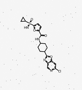 N=S(=O)(c1ccc(C(=O)NC2CCC(c3nc4cnc(Cl)cc4o3)CC2)o1)C1CC1